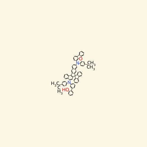 CC(C)c1ccc(N(c2cccc(-c3ccccc3O)c2)c2cc3c(c4ccccc24)-c2cc4ccc(N(c5ccc(C(C)C)cc5)c5cccc6c5oc5ccccc56)cc4cc2C32c3ccccc3-c3ccccc32)cc1